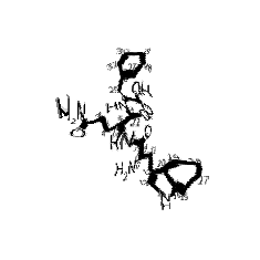 NC(=O)CC[C@H](NC(=O)[C@@H](N)Cc1c[nH]c2ccccc12)C(=O)N[C@@H](Cc1ccccc1)C(=O)O